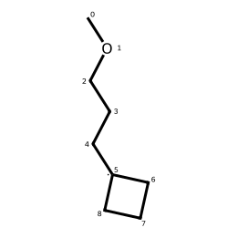 COCCC[C]1CCC1